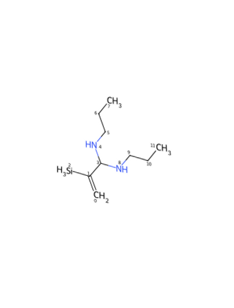 C=C([SiH3])C(NCCC)NCCC